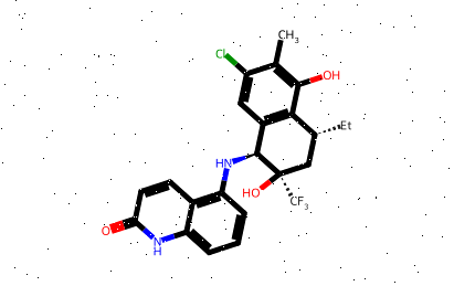 CC[C@@H]1C[C@](O)(C(F)(F)F)[C@@H](Nc2cccc3[nH]c(=O)ccc23)c2cc(Cl)c(C)c(O)c21